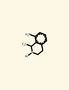 CC(=O)N1CCc2cccc(N)c2C1C(F)(F)F